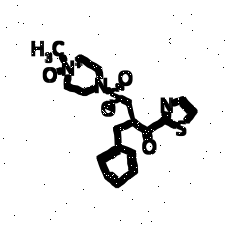 C[N+]1([O-])CCN(S(=O)(=O)C[C@H](Cc2ccccc2)C(=O)c2nccs2)CC1